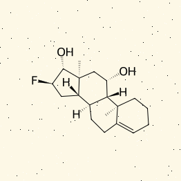 C[C@]12C[C@H](O)[C@H]3[C@@H](CCC4=CCCC[C@@]43C)[C@@H]1C[C@@H](F)[C@@H]2O